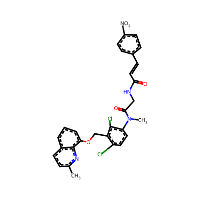 Cc1ccc2cccc(OCc3c(Cl)ccc(N(C)C(=O)CNC(=O)C=Cc4ccc([N+](=O)[O-])cc4)c3Cl)c2n1